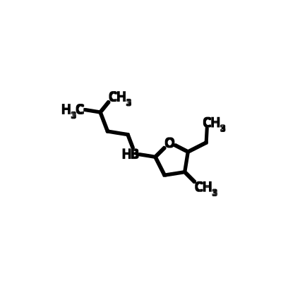 CCC1OC(BCCC(C)C)CC1C